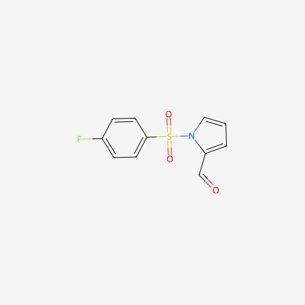 O=Cc1cccn1S(=O)(=O)c1ccc(F)cc1